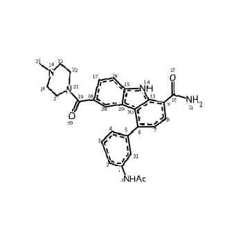 CC(=O)Nc1cccc(-c2ccc(C(N)=O)c3[nH]c4ccc(C(=O)N5CCN(C)CC5)cc4c23)c1